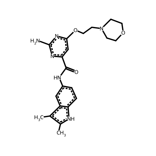 Cc1[nH]c2ccc(NC(=O)c3cc(OCCN4CCOCC4)nc(N)n3)cc2c1C